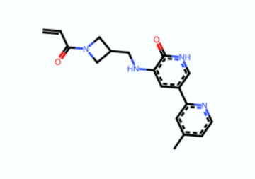 C=CC(=O)N1CC(CNc2cc(-c3cc(C)ccn3)c[nH]c2=O)C1